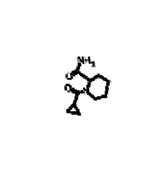 NC(=O)C1C[CH]CCN1C(=O)C1CC1